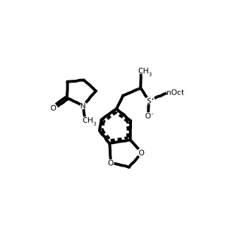 CCCCCCCC[S+]([O-])C(C)Cc1ccc2c(c1)OCO2.CN1CCCC1=O